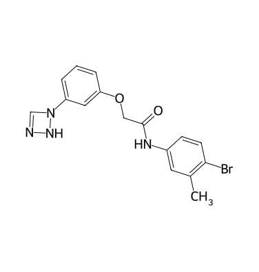 Cc1cc(NC(=O)COc2cccc(-n3cn[nH]3)c2)ccc1Br